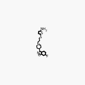 Nc1ccc(SCCCN2CCC(c3noc4cc(F)ccc34)CC2)s1